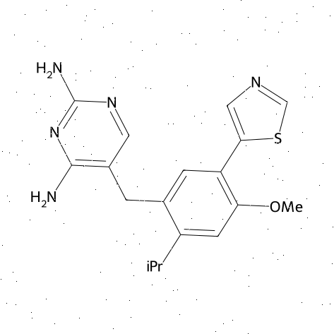 COc1cc(C(C)C)c(Cc2cnc(N)nc2N)cc1-c1cncs1